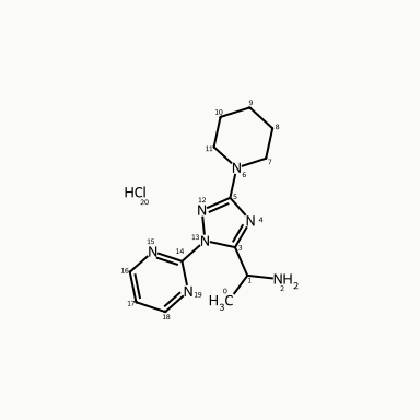 CC(N)c1nc(N2CCCCC2)nn1-c1ncccn1.Cl